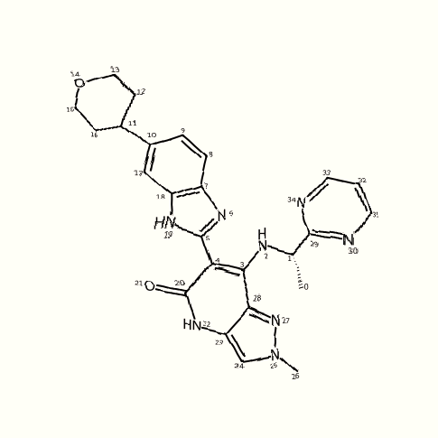 C[C@H](Nc1c(-c2nc3ccc(C4CCOCC4)cc3[nH]2)c(=O)[nH]c2cn(C)nc12)c1ncccn1